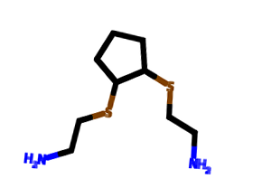 NCCSC1CCCC1SCCN